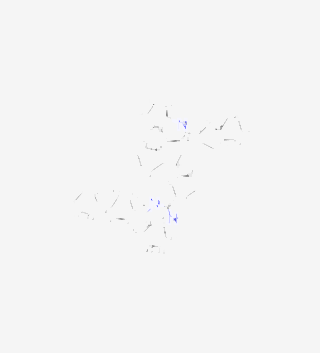 c1ccc(-c2ccc(-c3nc(-c4cccc(-c5cc6c(-c7ccc8ccccc8c7)nc7ccccc7c6c6ccccc56)c4)nc4ccccc34)cc2)cc1